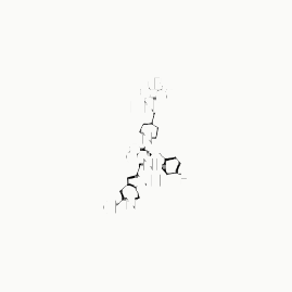 CC(C)(C)OC(=O)NCC1CCN(C(=O)[C@H](Cc2ccc(F)cc2)NC(=O)c2cc3cc(Cl)ncc3[nH]2)CC1